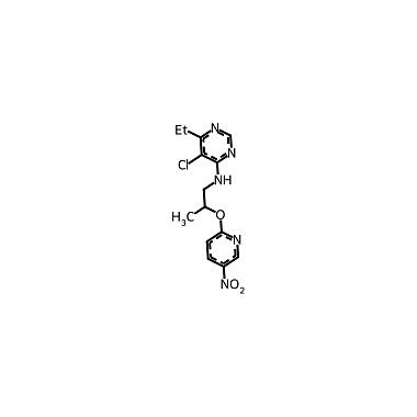 CCc1ncnc(NCC(C)Oc2ccc([N+](=O)[O-])cn2)c1Cl